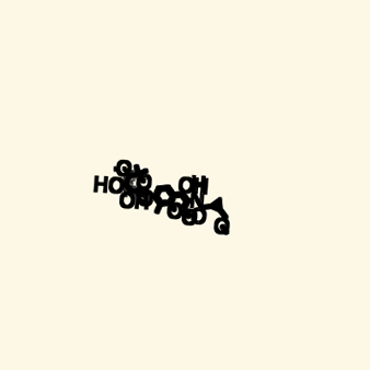 COCC1CC1C(=O)Nc1c(O)c2ccc(O[C@@H]3OC(C)(C)[C@H](OC)[C@@H](O)[C@H]3O)c(C)c2oc1=O